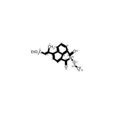 CCOC(=O)/C=C(\C)c1ccc2c3c(cccc13)C(=O)N(OSC(F)(F)F)C2=O